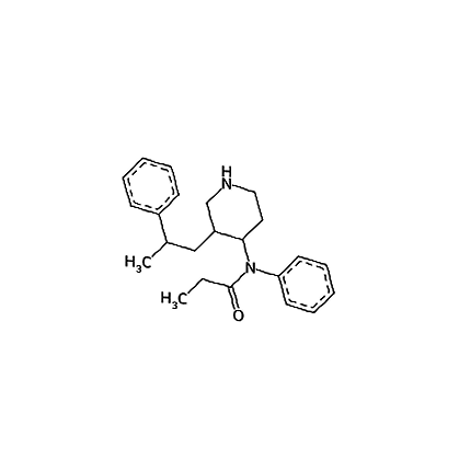 CCC(=O)N(c1ccccc1)C1CCNCC1CC(C)c1ccccc1